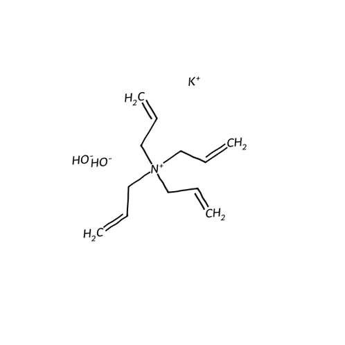 C=CC[N+](CC=C)(CC=C)CC=C.[K+].[OH-].[OH-]